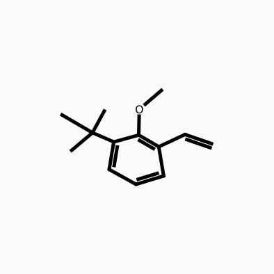 C=Cc1cccc(C(C)(C)C)c1OC